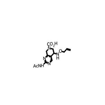 C=CCONC1CN(C(=O)O)Cc2nc(NC(C)=O)ncc21